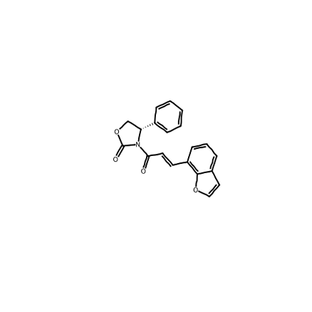 O=C(/C=C/c1cccc2ccoc12)N1C(=O)OC[C@@H]1c1ccccc1